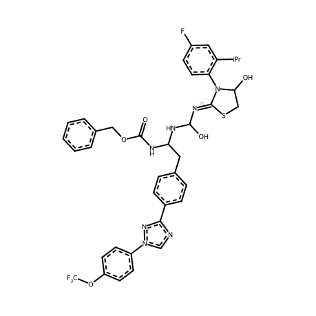 CC(C)c1cc(F)ccc1N1/C(=N/C(O)NC(Cc2ccc(-c3ncn(-c4ccc(OC(F)(F)F)cc4)n3)cc2)NC(=O)OCc2ccccc2)SCC1O